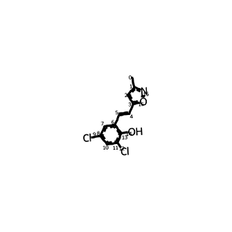 Cc1cc(C=Cc2cc(Cl)cc(Cl)c2O)on1